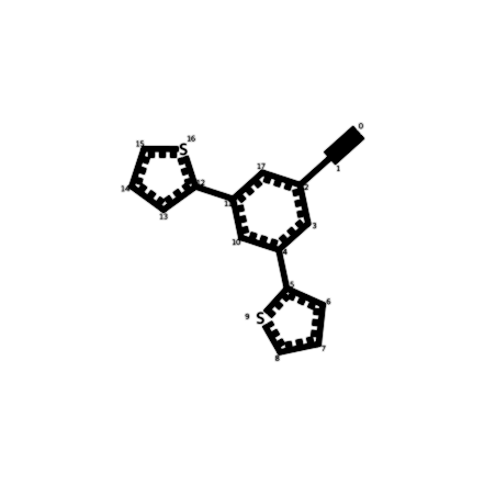 C#Cc1cc(-c2cccs2)cc(-c2cccs2)c1